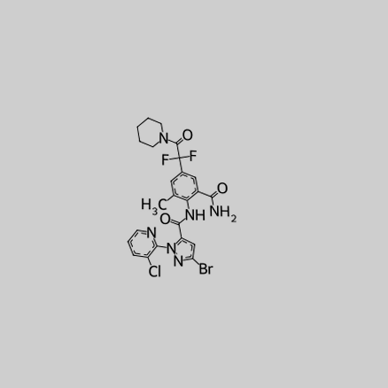 Cc1cc(C(F)(F)C(=O)N2CCCCC2)cc(C(N)=O)c1NC(=O)c1cc(Br)nn1-c1ncccc1Cl